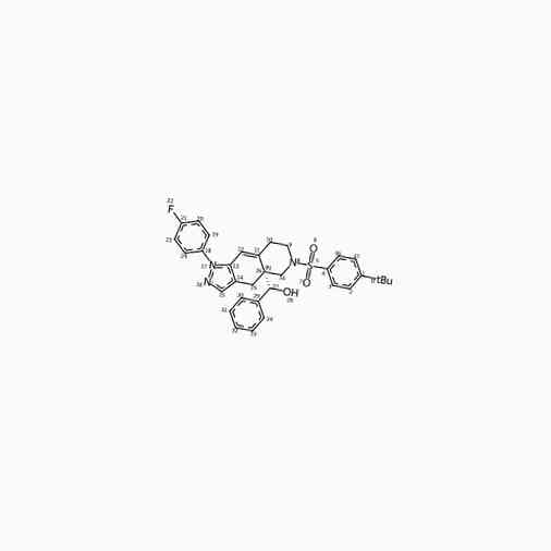 CC(C)(C)c1ccc(S(=O)(=O)N2CCC3=Cc4c(cnn4-c4ccc(F)cc4)C[C@]3(C(O)c3ccccc3)C2)cc1